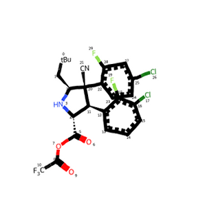 CC(C)(C)C[C@@H]1N[C@@H](C(=O)OC(=O)C(F)(F)F)[C@H](c2cccc(Cl)c2F)[C@@]1(C#N)c1ccc(Cl)cc1F